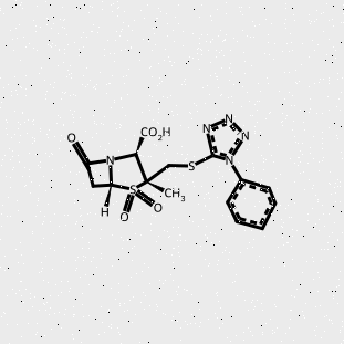 C[C@]1(CSc2nnnn2-c2ccccc2)[C@H](C(=O)O)N2C(=O)C[C@H]2S1(=O)=O